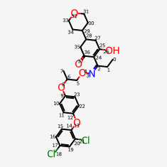 CCC(=NOCC(C)Oc1ccc(Oc2ccc(Cl)cc2Cl)cc1)C1=C(O)CC(C2CCOCC2)CC1=O